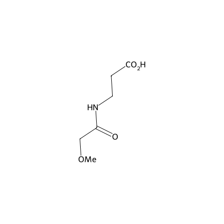 COCC(=O)NCCC(=O)O